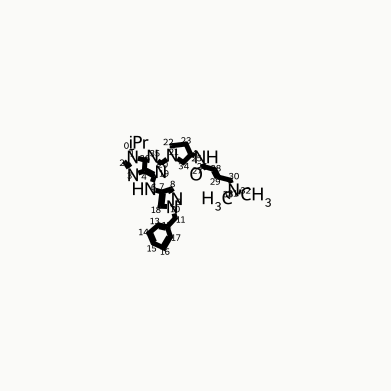 CC(C)n1cnc2c(Nc3cnn(Cc4ccccc4)c3)nc(N3CCC(NC(=O)C=CCN(C)C)C3)nc21